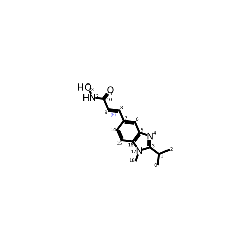 CC(C)c1nc2cc(/C=C/C(=O)NO)ccc2n1C